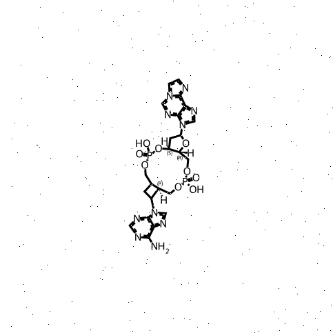 Nc1ncnc2c1ncn2C1CC2COP(=O)(O)O[C@H]3CC(n4cnc5c4ncn4ccnc54)O[C@@H]3COP(=O)(O)OC[C@H]21